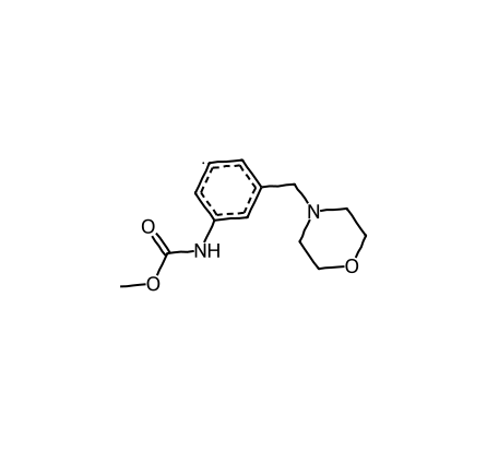 COC(=O)Nc1c[c]cc(CN2CCOCC2)c1